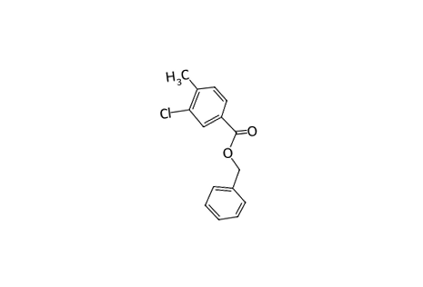 Cc1ccc(C(=O)OCc2ccccc2)cc1Cl